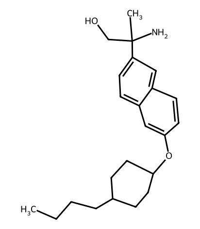 CCCCC1CCC(Oc2ccc3cc(C(C)(N)CO)ccc3c2)CC1